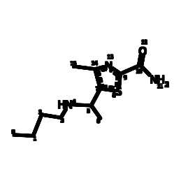 CCCCNC(C)c1sc(C(N)=O)nc1C